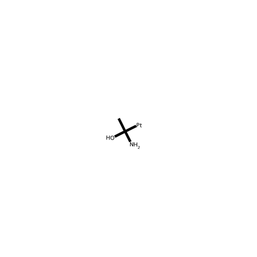 C[C](N)(O)[Pt]